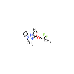 C=CCN(c1ccccc1)c1ncc(C(=O)OCCC(C)=C(F)F)c(C)n1